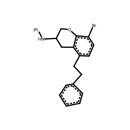 CC(C)NC1COc2c(Br)ccc(CCc3ccccc3)c2C1